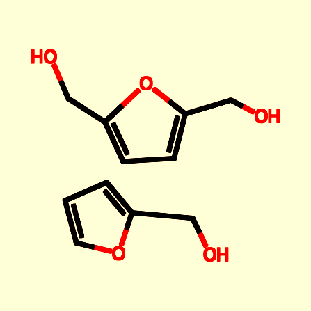 OCc1ccc(CO)o1.OCc1ccco1